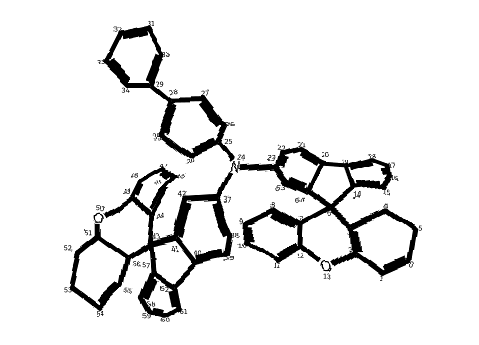 C1=CC2=C(CC1)C1(c3ccccc3O2)c2ccccc2-c2ccc(N(c3ccc(-c4ccccc4)cc3)c3ccc4c(c3)C3(c5ccccc5OC5CCC=CC53)c3ccccc3-4)cc21